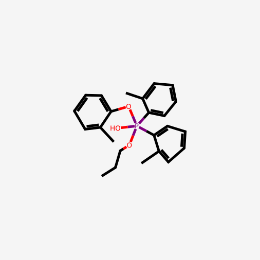 CCCOP(O)(Oc1ccccc1C)(c1ccccc1C)c1ccccc1C